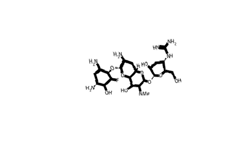 CNC1C(O[C@H]2OC(CO)[C@@H](NC(=N)N)CC2O)O[C@H]2CC(N)[C@@H](O[C@@H]3C(N)C[C@@H](N)C(O)C3F)OC2C1O